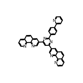 c1ccc(-c2ccc(-c3nc(-c4cnc5c(ccc6cccnc65)c4)cc(-c4cnc5c(ccc6cccnc65)c4)n3)cc2)nc1